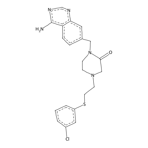 Nc1ncnc2cc(CN3CCN(CCSc4cccc(Cl)c4)CC3=O)ccc12